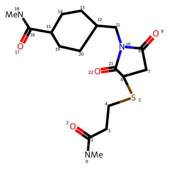 CNC(=O)CCSC1CC(=O)N(CC2CCC(C(=O)NC)CC2)C1=O